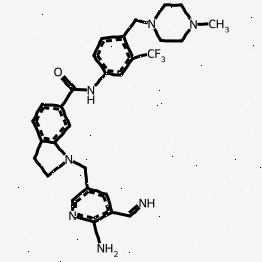 CN1CCN(Cc2ccc(NC(=O)c3ccc4c(c3)N(Cc3cnc(N)c(C=N)c3)CC4)cc2C(F)(F)F)CC1